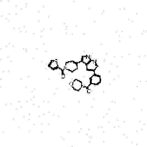 O=C(c1cccc(-c2cnc3[nH]cc(C4=CCN(C(=O)c5cccs5)CC4)c3c2)c1)N1CCOCC1